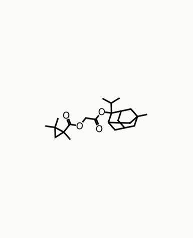 CC(C)C1(OC(=O)COC(=O)C2(C)CC2(C)C)C2CC3CC1CC(C)(C3)C2